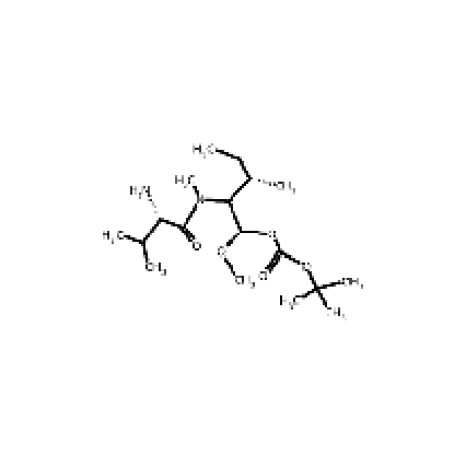 CC[C@H](C)C([C@H](OC)OC(=O)OC(C)(C)C)N(C)C(=O)[C@@H](N)C(C)C